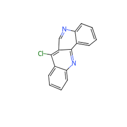 Clc1c2ccccc2nc2c1cnc1ccccc12